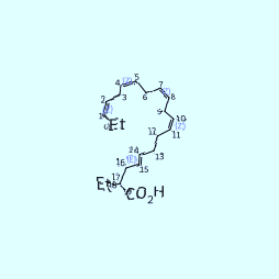 CC/C=C\C/C=C\C/C=C\C/C=C\CC/C=C/CC(CC)C(=O)O